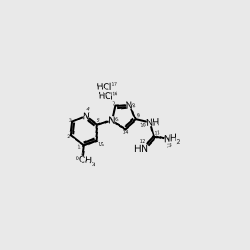 Cc1ccnc(-n2cnc(NC(=N)N)c2)c1.Cl.Cl